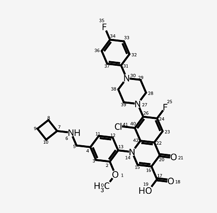 COc1cc(CNC2CCC2)ccc1-n1cc(C(=O)O)c(=O)c2cc(F)c(N3CCN(c4ccc(F)cc4)CC3)c(Cl)c21